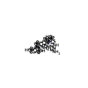 Nc1nc(Cl)nc(Nc2ccc(S(=O)(=O)O)c(/N=N/c3c(S(=O)(=O)O)cc4cc(S(=O)(=O)OI)c(/N=N/c5cc(S(=O)(=O)O)ccc5S(=O)(=O)O)c(N)c4c3O)c2)n1